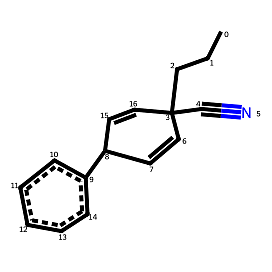 CCCC1(C#N)C=CC(c2ccccc2)C=C1